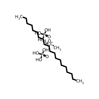 CC.CCCCCCCCCCCCCCCCCCCC.O.O=P(O)(O)O.O=P(O)(O)O